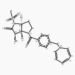 CC(C)[C@H]1C(=O)N(S(C)(=O)=O)[C@H]2CCN(C(=O)c3ccc(CN4C=CC=CC=C4)cc3)[C@H]12